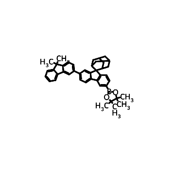 CC1(C)c2ccccc2-c2cc(-c3ccc4c(c3)C3(c5ccc(B6OC(C)(C)C(C)(C)O6)cc5-4)C4CC5CC(C4)CC3C5)ccc21